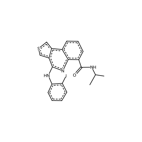 CC(C)NC(=O)c1cccc2c1nc(Nc1ccccc1I)c1cscc12